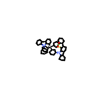 c1ccc(-n2c3ccccc3c3cccc([Si](c4ccccc4)(c4ccccc4)c4cccc(-n5c6ccccc6c6ccc7c8ccccc8sc7c65)c4)c32)cc1